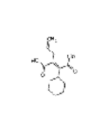 C=CC/C(C(=O)O)=C(\C(=O)O)C1CCCCC1